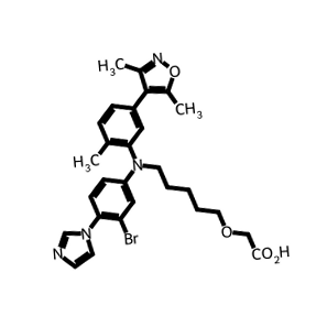 Cc1ccc(-c2c(C)noc2C)cc1N(CCCCCOCC(=O)O)c1ccc(-n2ccnc2)c(Br)c1